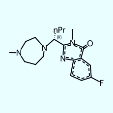 CCC[C@H](c1nc2ccc(F)cc2c(=O)n1C)N1CCCN(C)CC1